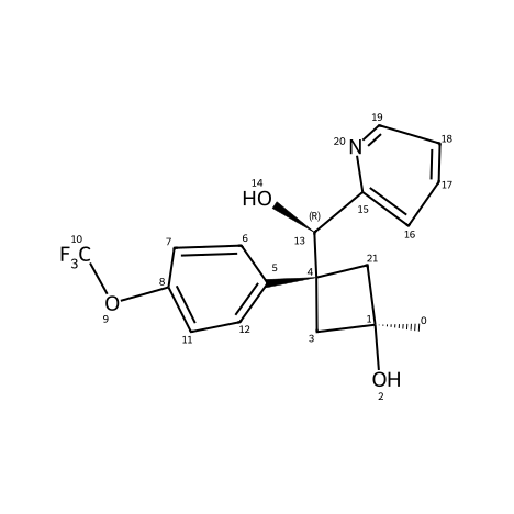 C[C@]1(O)C[C@](c2ccc(OC(F)(F)F)cc2)([C@@H](O)c2ccccn2)C1